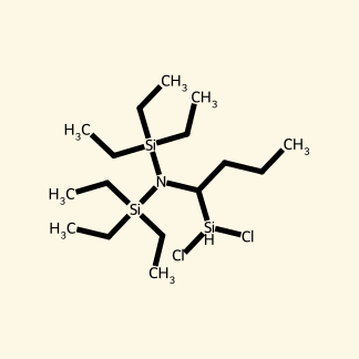 CCCC(N([Si](CC)(CC)CC)[Si](CC)(CC)CC)[SiH](Cl)Cl